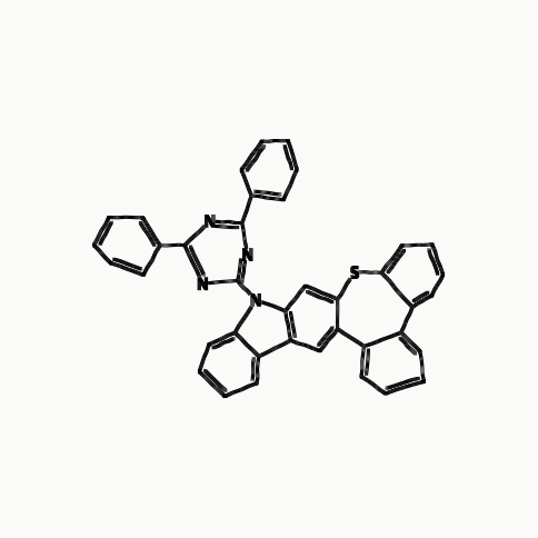 c1ccc(-c2nc(-c3ccccc3)nc(-n3c4ccccc4c4cc5c(cc43)Sc3ccccc3-c3ccccc3-5)n2)cc1